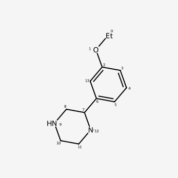 CCOc1cccc(C2CNCC[N]2)c1